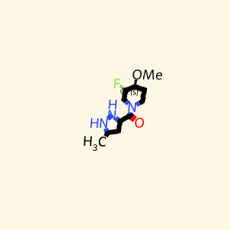 CO[C@H]1CCN(C(=O)C2CC(C)NN2)C[C@H]1F